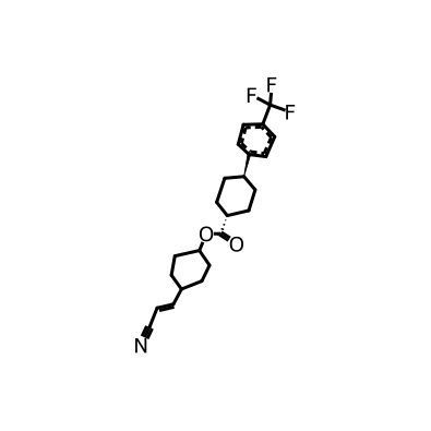 N#C/C=C/C1CCC(OC(=O)[C@H]2CC[C@H](c3ccc(C(F)(F)F)cc3)CC2)CC1